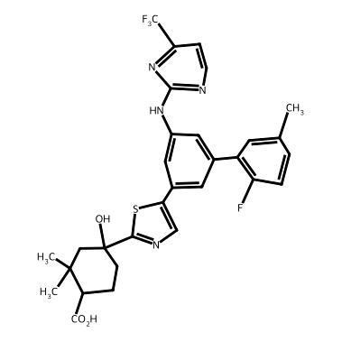 Cc1ccc(F)c(-c2cc(Nc3nccc(C(F)(F)F)n3)cc(-c3cnc(C4(O)CCC(C(=O)O)C(C)(C)C4)s3)c2)c1